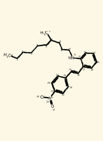 CCCCCCC(C)CCCNc1ccccc1C=Cc1ccc([N+](=O)[O-])cc1